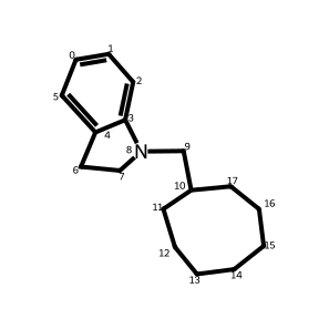 c1ccc2c(c1)CCN2CC1CCCCCCC1